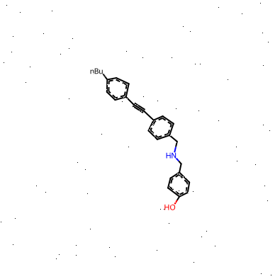 CCCCc1ccc(C#Cc2ccc(CNCc3ccc(O)cc3)cc2)cc1